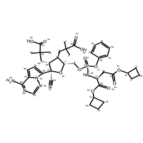 CC(C)(C[C@H]1[C@H](COP(=O)(N[C@@H](CC(=O)OC2CCC2)C(=O)OC2CCC2)Oc2ccccc2)O[C@@](C#N)(c2ccc3c(N)ncnn23)[C@@H]1CC(C)(C)C(=O)O)C(=O)O